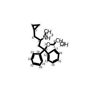 CCOC(CC(CC1CC1)NC)(c1ccccc1)c1ccccc1.Cl